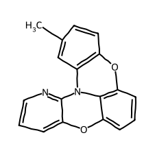 Cc1ccc2c(c1)N1c3ncccc3Oc3cccc(c31)O2